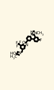 Cn1cnnc1-c1cc(F)ccc1-c1cccc(-c2nc3cc(CN4CC(C)(O)C4)cc(C(F)(F)F)c3o2)c1